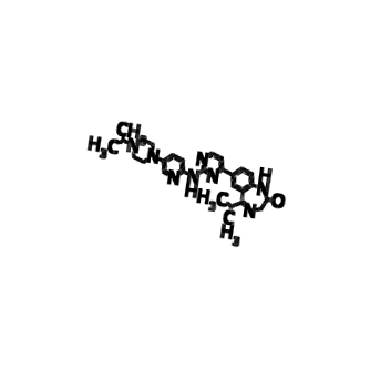 CC(C)C1=NCC(=O)Nc2ccc(-c3ccnc(Nc4ccc(N5CCN(C(C)C)CC5)cn4)n3)cc21